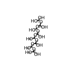 OC(O)OC(O)OC(O)OC(O)OC(O)OC(O)OC(O)OC(O)O